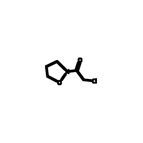 O=C(CCl)N1CCCO1